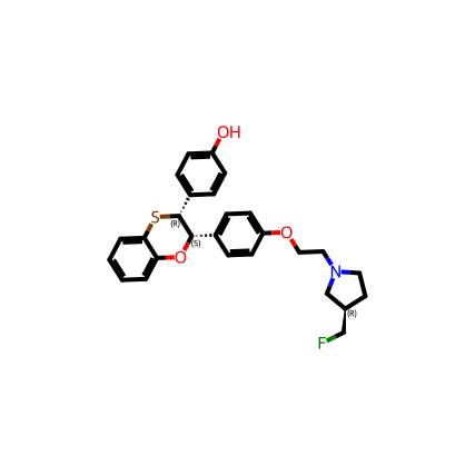 Oc1ccc([C@H]2Sc3ccccc3O[C@H]2c2ccc(OCCN3CC[C@@H](CF)C3)cc2)cc1